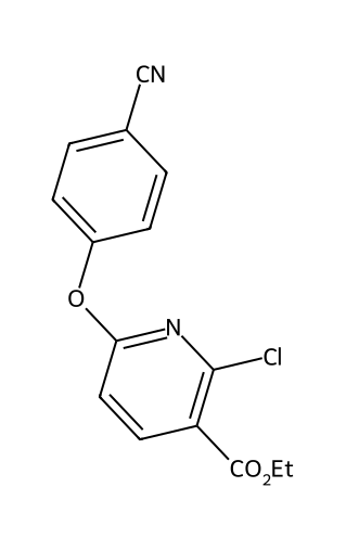 CCOC(=O)c1ccc(Oc2ccc(C#N)cc2)nc1Cl